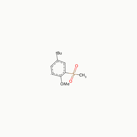 COc1[c]cc(C(C)(C)C)cc1S(C)(=O)=O